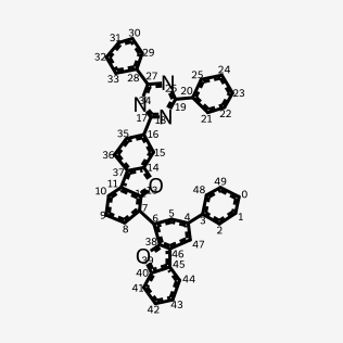 c1ccc(-c2cc(-c3cccc4c3oc3cc(-c5nc(-c6ccccc6)nc(-c6ccccc6)n5)ccc34)c3oc4ccccc4c3c2)cc1